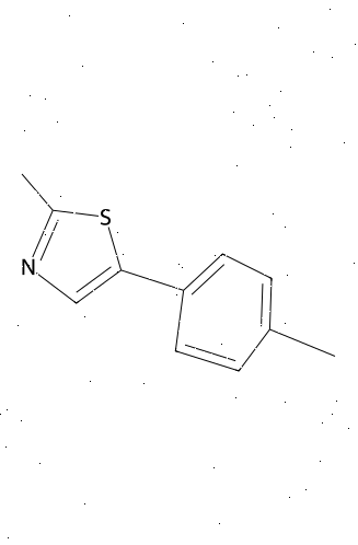 Cc1ccc(-c2cnc(C)s2)cc1